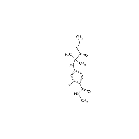 CCSC(=O)C(C)(C)Nc1ccc(C(=O)NC)c(F)c1